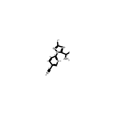 CC(N)c1nc(I)nn1-c1ccc(C#N)cn1